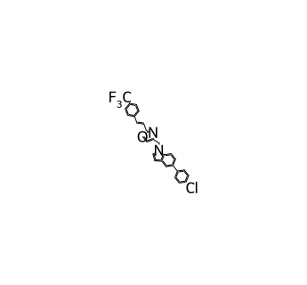 FC(F)(F)c1ccc(/C=C/c2nc(Cn3ccc4cc(-c5ccc(Cl)cc5)ccc43)co2)cc1